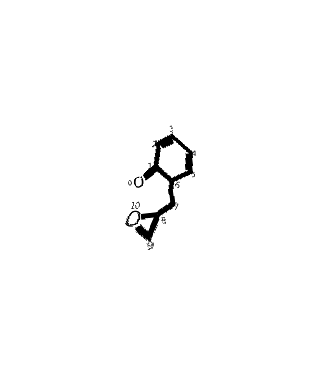 O=C1C=CC=CC1CC1CO1